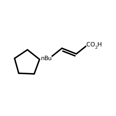 C1CCCC1.CCCC/C=C/C(=O)O